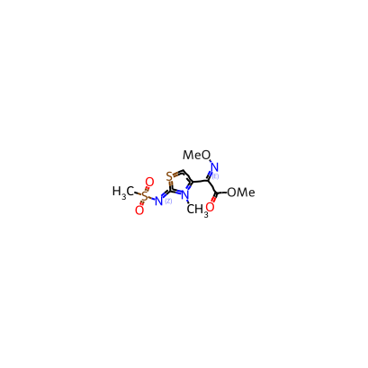 CO/N=C(/C(=O)OC)c1cs/c(=N\S(C)(=O)=O)n1C